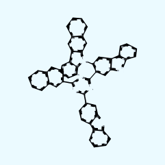 c1ccc2cc(-c3nc(-c4ccc5c(c4)oc4ccccc45)nc(-c4cc5oc6ccccc6c5cc4-n4c5ccccc5c5cc6ccccc6cc54)n3)ccc2c1